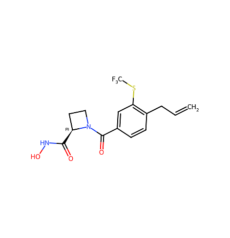 C=CCc1ccc(C(=O)N2CC[C@@H]2C(=O)NO)cc1SC(F)(F)F